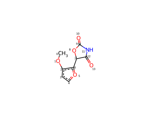 COc1ccoc1C1OC(=O)NC1=O